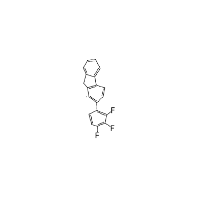 Fc1ccc(-c2[c]c3c(cc2)-c2ccccc2C3)c(F)c1F